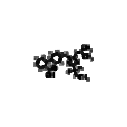 CCC(F)(F)c1nc(CC(C)C)n(Cc2ccc(-c3ccccc3C(=O)O)cc2)n1